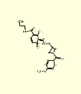 COCCNC(=O)C1=C(C)/C(=C/NCC2CN(C(=O)C3C=CC(OC(F)(F)F)=CC3)C2)C(=N)C=C1